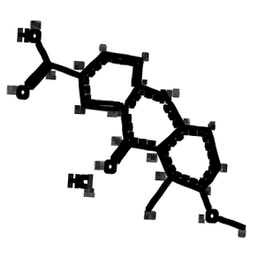 COc1ccc2nc3ccc(C(=O)O)cn3c(=O)c2c1C.Cl